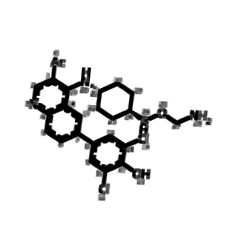 CC(=O)c1cnc2ccc(-c3cc(Cl)c(O)c(Cl)c3)cc2c1N[C@H]1CC[C@H](BOCN)CC1